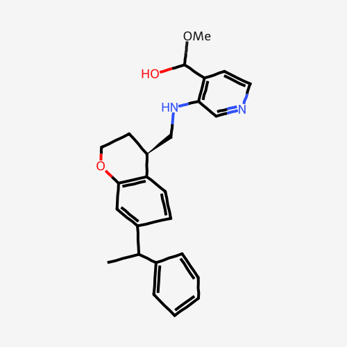 COC(O)c1ccncc1NC[C@@H]1CCOc2cc(C(C)c3ccccc3)ccc21